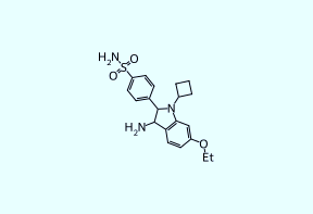 CCOc1ccc2c(c1)N(C1CCC1)C(c1ccc(S(N)(=O)=O)cc1)C2N